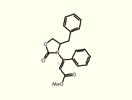 COC(=O)/C=C(\c1ccccc1)N1C(=O)OCC1Cc1ccccc1